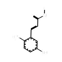 CCCNC(=O)C=Cc1cc(N)ccc1N